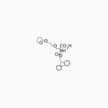 O=C(NC(COCCCOC1CCCCO1)C(=O)O)OCC1c2ccccc2-c2ccccc21